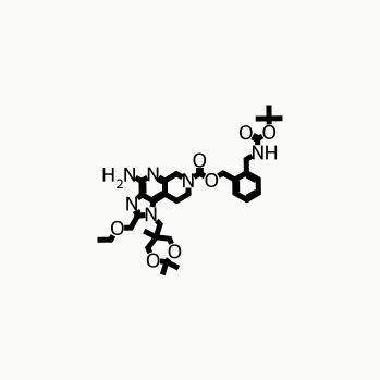 CCOCc1nc2c(N)nc3c(c2n1CC1(C)COC(C)(C)OC1)CCN(C(=O)OCc1ccccc1CNC(=O)OC(C)(C)C)C3